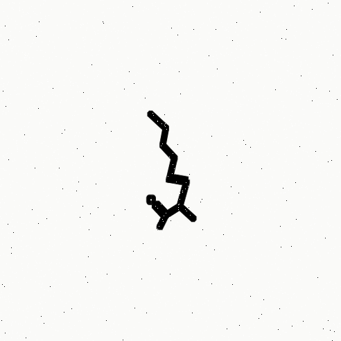 CCCCC=CC(C)C(C)=O